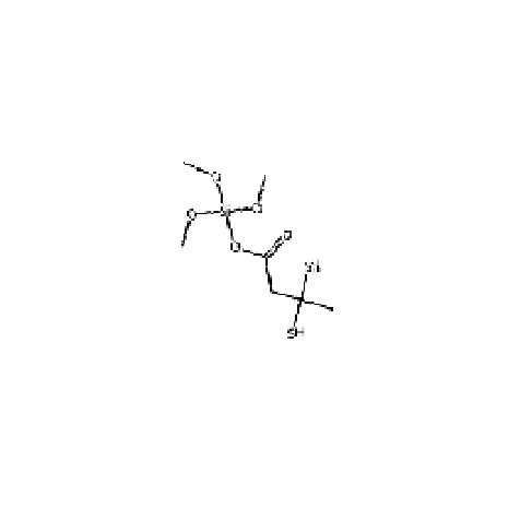 CO[Si](OC)(OC)OC(=O)CC(C)(S)S